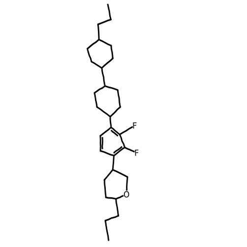 CCCC1CCC(C2CCC(c3ccc(C4CCC(CCC)OC4)c(F)c3F)CC2)CC1